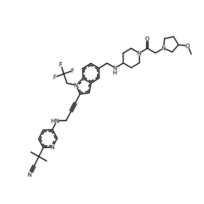 COC1CCN(CC(=O)N2CCC(NCc3ccc4c(c3)cc(C#CCNc3ccc(C(C)(C)C#N)nc3)n4CC(F)(F)F)CC2)C1